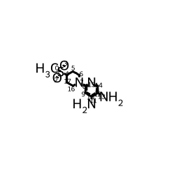 CS(=O)(=O)C1CCN(c2cc(N)c(N)cn2)CC1